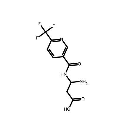 NC(CC(=O)O)NC(=O)c1ccc(C(F)(F)F)nc1